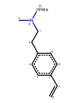 C=Cc1ccc(CCN(C)CCCCCC)cc1